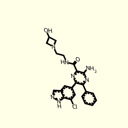 Nc1nc(-c2ccccc2)c(-c2cc(Cl)c3[nH]ncc3c2)nc1C(=O)NCCN1CC(O)C1